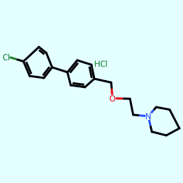 Cl.Clc1ccc(-c2ccc(COCCN3CCCCC3)cc2)cc1